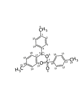 Cc1ccc([I+](OS(=O)(=O)c2ccc(C)cc2)c2ccc(C)cc2)cc1